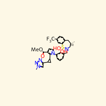 COC(=O)c1ccn(-c2cccc(CN3C[C@@H](C)Cc4ccc(C(F)(F)F)cc4S3(O)O)c2)c1C1CC1c1cn(C)nn1